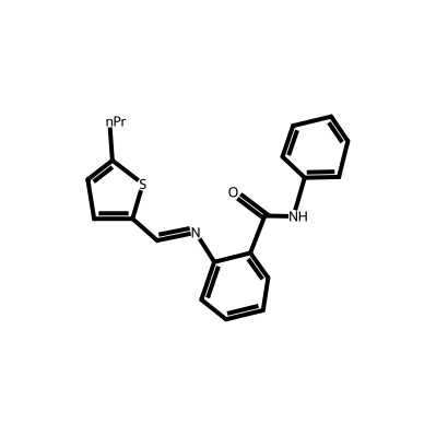 CCCc1ccc(/C=N/c2ccccc2C(=O)Nc2ccccc2)s1